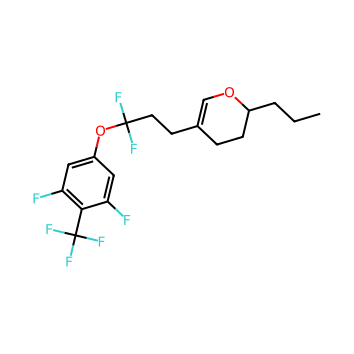 CCCC1CCC(CCC(F)(F)Oc2cc(F)c(C(F)(F)F)c(F)c2)=CO1